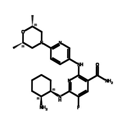 C[C@@H]1CN(c2ccc(Nc3nc(N[C@@H]4CCCC[C@@H]4N)c(F)cc3C(N)=O)cn2)C[C@H](C)O1